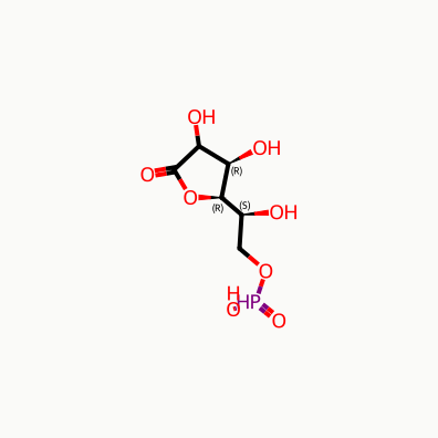 O=C1O[C@H]([C@@H](O)CO[PH](=O)O)[C@H](O)C1O